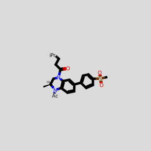 CC(=O)N1c2ccc(-c3ccc(S(C)(=O)=O)cc3)cc2N(C(=O)CCC(C)C)C[C@@H]1C